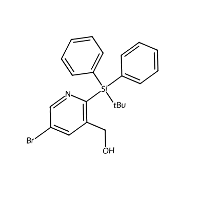 CC(C)(C)[Si](c1ccccc1)(c1ccccc1)c1ncc(Br)cc1CO